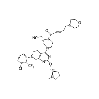 CN1CCC[C@H]1COc1nc2c(c(N3CCN(C(=O)C#CCCN4CCOCC4)[C@@H](CC#N)C3)n1)CCN(c1cccc(Cl)c1C(F)(F)F)C2